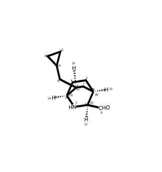 O=C[C@H]1N[C@H]2CC[C@@H]1C[C@@H]2CC1CC1